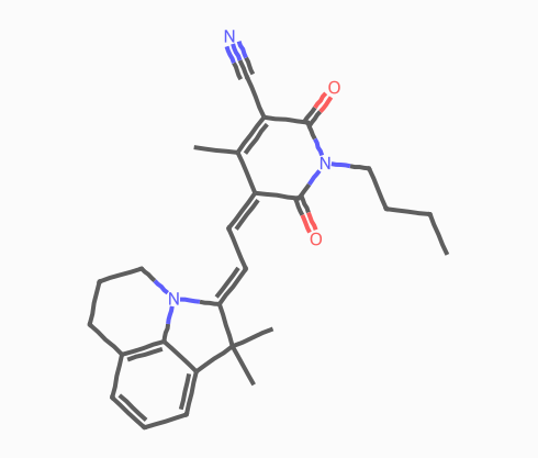 CCCCN1C(=O)C(=CC=C2N3CCCc4cccc(c43)C2(C)C)C(C)=C(C#N)C1=O